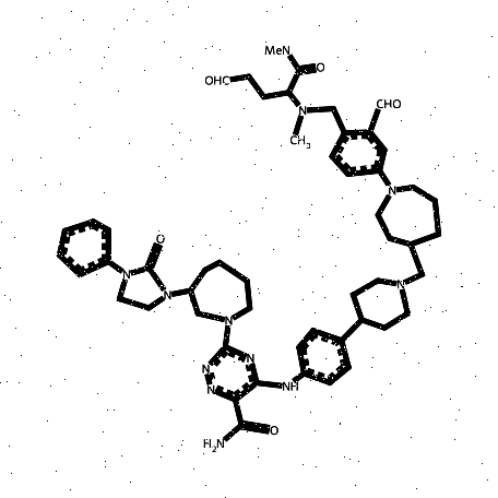 CNC(=O)C(CCC=O)N(C)Cc1ccc(N2CCCC(CN3CCC(c4ccc(Nc5nc(N6CCCCC(N7CCN(c8ccccc8)C7=O)C6)nnc5C(N)=O)cc4)CC3)CC2)cc1C=O